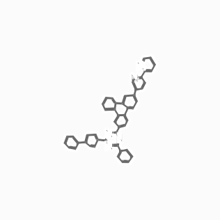 c1ccc(-c2ccc(-c3nc(-c4ccccc4)nc(-c4ccc5c6ccc(-c7ccc(-c8ccccn8)nc7)cc6c6ccccc6c5c4)n3)cc2)cc1